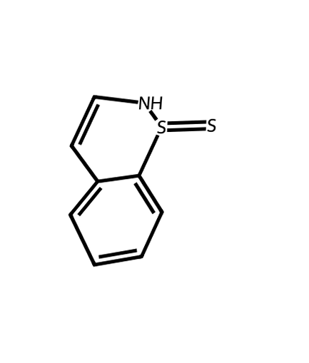 S=S1NC=Cc2ccccc21